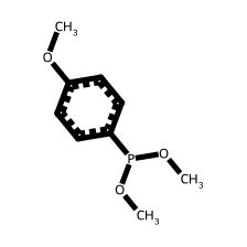 COc1ccc(P(OC)OC)cc1